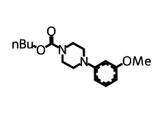 CCCCOC(=O)N1CCN(c2cccc(OC)c2)CC1